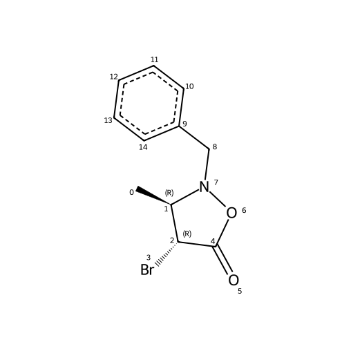 C[C@@H]1[C@@H](Br)C(=O)ON1Cc1ccccc1